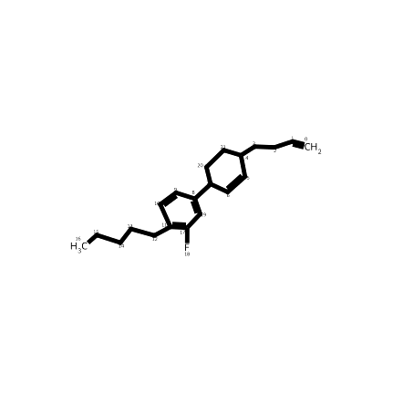 C=CCCC1C=CC(c2ccc(CCCCC)c(F)c2)CC1